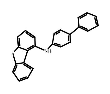 c1ccc(-c2ccc(Nc3cccc4sc5ccccc5c34)cc2)cc1